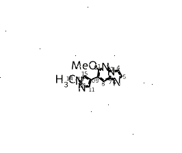 COc1nn2ccnc2cc1-c1cnn(C)c1